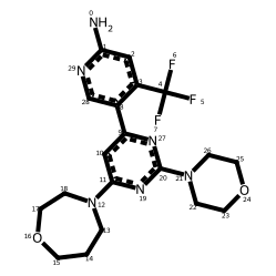 Nc1cc(C(F)(F)F)c(-c2cc(N3CCCOCC3)nc(N3CCOCC3)n2)cn1